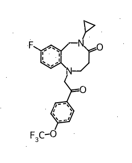 O=C(CN1CCC(=O)N(C2CC2)Cc2cc(F)ccc21)c1ccc(OC(F)(F)F)cc1